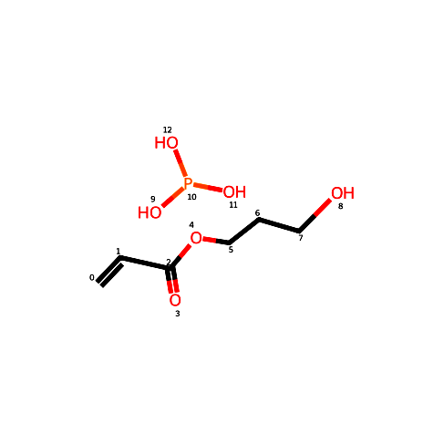 C=CC(=O)OCCCO.OP(O)O